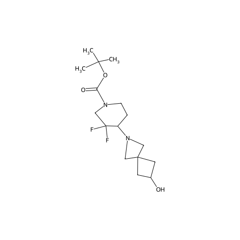 CC(C)(C)OC(=O)N1CCC(N2CC3(CC(O)C3)C2)C(F)(F)C1